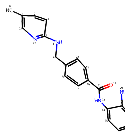 N#Cc1ccc(NCc2ccc(C(=O)Nc3ccccc3N)cc2)nc1